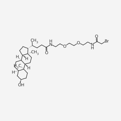 CC(CCC(=O)NCCOCCOCCNC(=O)CBr)[C@H]1CC[C@H]2[C@@H]3CC[C@@H]4C[C@H](O)CC[C@]4(C)[C@H]3CC[C@]12C